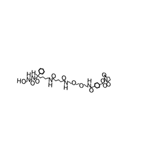 CC(CCCCNC(=O)CCCC(=O)NCCOCCOCCNC(=O)c1ccc(C(=O)ON2C(=O)CCC2=O)cc1)(C(=O)NC(=O)NCO)c1ccccc1